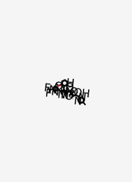 COc1cccc(OC)c1-n1c(NS(=O)(=O)[C@@H](C)[C@H](O)c2ncc(C)cn2)nnc1-c1ccn(C(F)F)n1